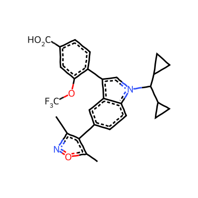 Cc1noc(C)c1-c1ccc2c(c1)c(-c1ccc(C(=O)O)cc1OC(F)(F)F)cn2C(C1CC1)C1CC1